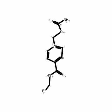 CC(C)CNC(=O)c1cc[n+](COC(N)=O)cc1